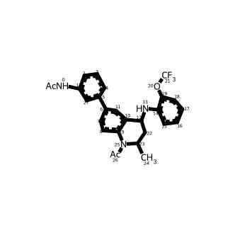 CC(=O)Nc1cccc(-c2ccc3c(c2)C(Nc2ccccc2OC(F)(F)F)CC(C)N3C(C)=O)c1